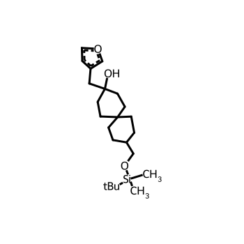 CC(C)(C)[Si](C)(C)OCC1CCC2(CC1)CCC(O)(Cc1ccoc1)CC2